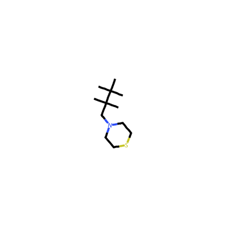 CC(C)(C)C(C)(C)CN1CCSCC1